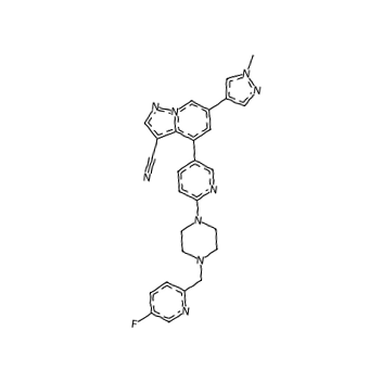 Cn1cc(-c2cc(-c3ccc(N4CCN(Cc5ccc(F)cn5)CC4)nc3)c3c(C#N)cnn3c2)cn1